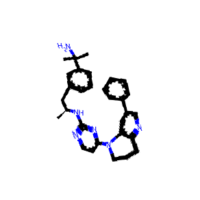 C[C@@H](Cc1cccc(C(C)(C)N)c1)Nc1nccc(N2CCCc3ncc(-c4ccccc4)cc32)n1